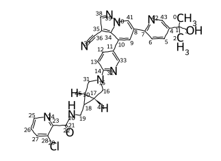 CC(C)(O)c1ccc(-c2cc(-c3ccc(N4C[C@@H]5C(CNC(=O)c6ncccc6Cl)[C@@H]5C4)nc3)c3c(C#N)cnn3c2)nc1